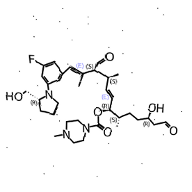 C/C(=C\c1cc(F)cc(N2CCC[C@@H]2CO)c1)[C@@H](C=O)[C@@H](C)/C=C/[C@H](OC(=O)N1CCN(C)CC1)[C@@H](C)CC[C@@H](O)CC=O